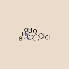 CC1=C(/C=C(Br)\C=C\O)CCc2cc(Cl)ccc2C1=O